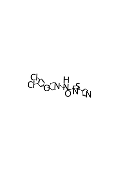 O=C(NCCN1CCC(Oc2ccc(Cl)c(Cl)c2)CC1)c1csc(-c2ccncc2)n1